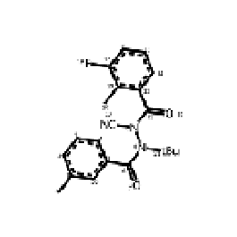 Cc1cccc(C(=O)N(N(C#N)C(=O)c2cccc(F)c2C)C(C)(C)C)c1